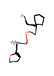 CC(C)CC1(COC[SiH2]C2CCCO2)CCCC1